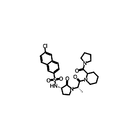 C[C@@H](C(=O)N1CCCCC1C(=O)N1CCCC1)N1CC[C@H](NS(=O)(=O)c2ccc3cc(Cl)ccc3c2)C1=O